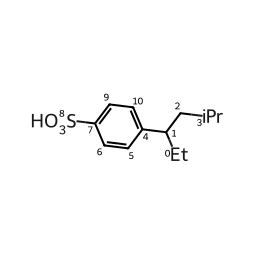 CCC(CC(C)C)c1ccc(S(=O)(=O)O)cc1